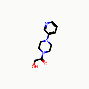 O=C(CO)N1CCN(c2cc[c]nc2)CC1